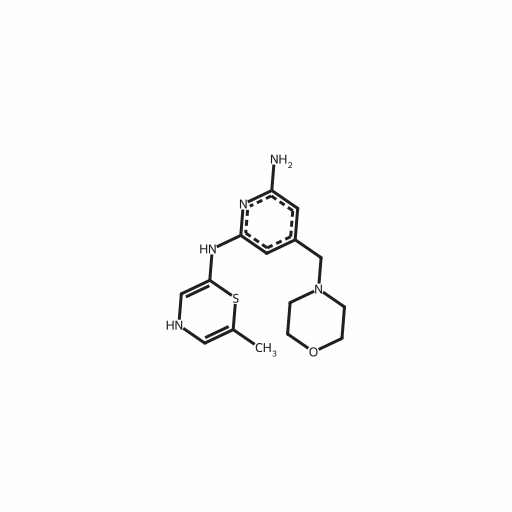 CC1=CNC=C(Nc2cc(CN3CCOCC3)cc(N)n2)S1